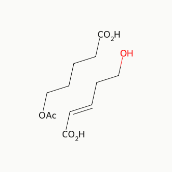 CC(=O)OCCCCC(=O)O.O=C(O)C=CCCO